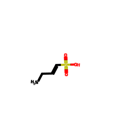 O=S(=O)(O)C=CC[SiH3]